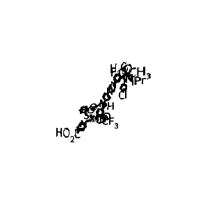 Cc1c(S(C)(=O)=O)c(-c2cc(F)cc(N3CCN(c4ccc(N(CCOO)Pc5ccc(N[C@H](CCN6CCC(C(=O)O)CC6)CSc6ccccc6)c(S(=O)(=O)C(F)(F)F)c5)cc4)CC3)c2)c(-c2ccc(Cl)cc2)n1C(C)C